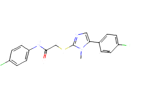 Cn1c(-c2ccc(Cl)cc2)cnc1SCC(=O)Nc1ccc(Cl)cc1